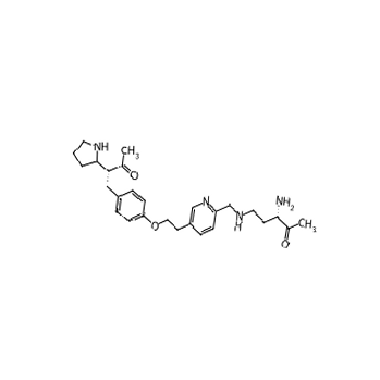 CC(=O)[C@@H](N)CCNCc1ccc(CCOc2ccc(C[C@@H](C(C)=O)C3CCCN3)cc2)cn1